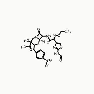 CCON=C(C(=O)NC1C(=O)N2CC(O)(C(=O)O)C(Cc3ccc([N+](=O)[O-])cc3)S[C@H]12)c1csc(NC=O)n1